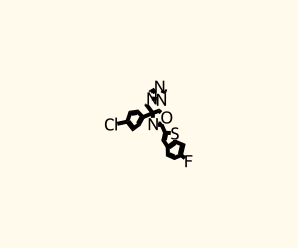 Fc1ccc2cc(C3=NC(Cn4cncn4)(c4ccc(Cl)cc4)CO3)sc2c1